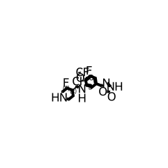 CC(Nc1cc(-c2n[nH]c(=O)o2)cc(F)c1OC(F)(F)F)[C@H]1CCNC[C@H]1F